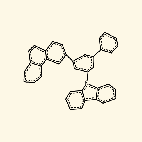 c1ccc(-c2cc(-c3ccc4ccc5ccccc5c4c3)cc(-n3c4ccccc4c4ccccc43)c2)cc1